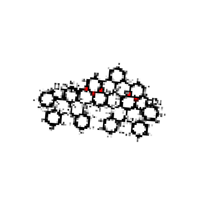 CC(C)(C)c1ccc(-c2cccc(-c3ccc(C(C)(C)C)cc3)c2N2c3cc4c(cc3B3c5ccccc5N(c5ccccc5)c5c3c2cc2sc3ccccc3c52)B2c3ccccc3N(c3ccccc3)c3c2c(cc2oc5ccccc5c32)O4)cc1